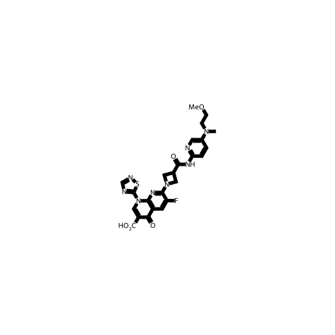 COCCN(C)c1ccc(NC(=O)C2CN(c3nc4c(cc3F)c(=O)c(C(=O)O)cn4-c3ncns3)C2)nc1